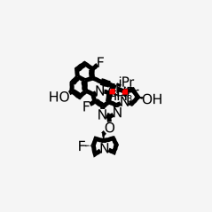 Cc1nc(-c2cc(O)cc3ccc(F)c(C#C[Si](C(C)C)(C(C)C)C(C)C)c23)c(F)c2nc(OC[C@@]34CCCN3C[C@H](F)C4)nc(N3CC[C@@H](O)C3)c12